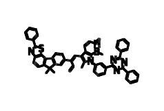 C=C/C=C\c1c(/C=C(\C=C)c2ccc3c(c2)C(C)(C)c2ccc4nc(-c5ccccc5)sc4c2-3)c(C)n(-c2cccc(-c3nc(-c4ccccc4)nc(-c4ccccc4)n3)c2)c1BC